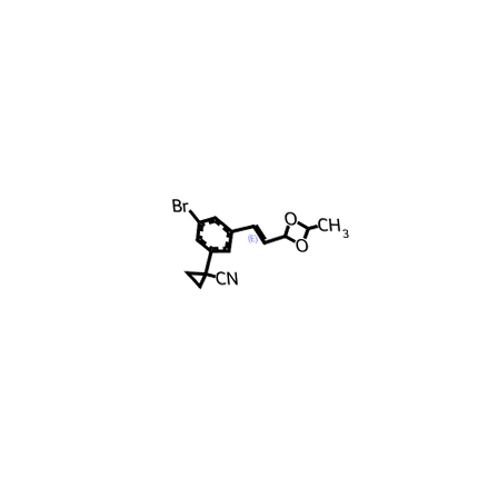 CC1OC(/C=C/c2cc(Br)cc(C3(C#N)CC3)c2)O1